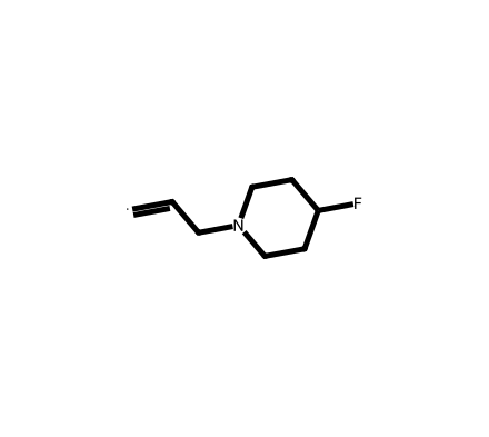 [CH]=CCN1CCC(F)CC1